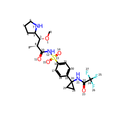 CO[C@@H](C1CCCN1)[C@@H](C)C(=O)NS(=O)(=O)c1ccc(C2(NC(=O)C(F)(F)F)CC2)cc1